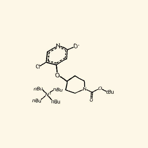 CC(C)(C)OC(=O)N1CCC(Oc2cc([O-])ncc2Cl)CC1.CCCC[N+](CCCC)(CCCC)CCCC